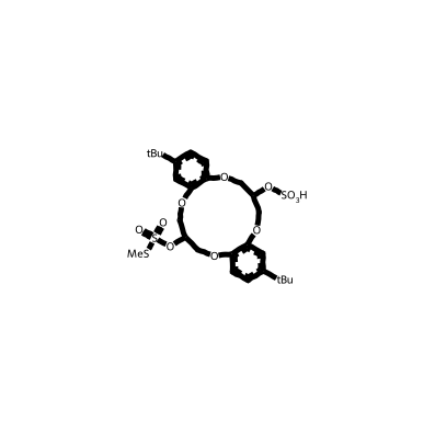 CSS(=O)(=O)OC1COc2ccc(C(C)(C)C)cc2OCC(OS(=O)(=O)O)COc2ccc(C(C)(C)C)cc2OC1